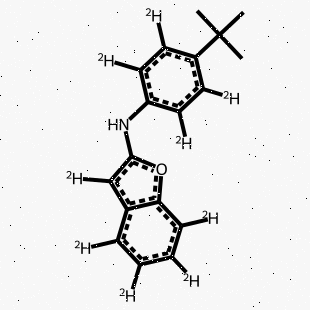 [2H]c1c([2H])c(C(C)(C)C)c([2H])c([2H])c1Nc1oc2c([2H])c([2H])c([2H])c([2H])c2c1[2H]